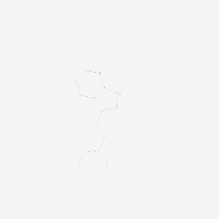 COC(CSC)NCc1c[nH]c2c(=O)[nH]cnc12